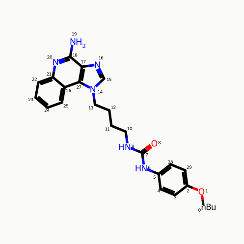 CCCCOc1ccc(NC(=O)NCCCCn2cnc3c(N)nc4ccccc4c32)cc1